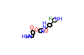 CNn1ccc2cc(Oc3ccnc(NC(=O)c4ccc(C5CCNCC5F)cc4)c3)c(OC)cc21